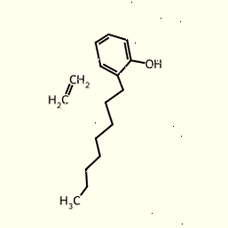 C=C.CCCCCCCCc1ccccc1O